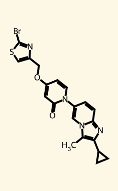 Cc1c(C2CC2)nc2ccc(-n3ccc(OCc4csc(Br)n4)cc3=O)cn12